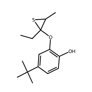 CCC1(Oc2cc(C(C)(C)C)ccc2O)SC1C